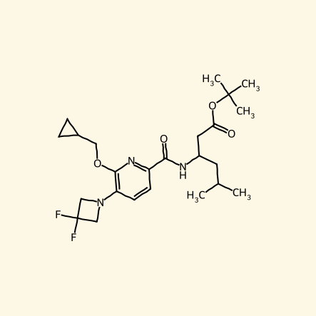 CC(C)CC(CC(=O)OC(C)(C)C)NC(=O)c1ccc(N2CC(F)(F)C2)c(OCC2CC2)n1